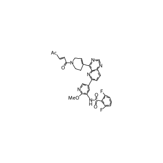 COc1ncc(-c2ccc3ncnc(C4=CCN(C(=O)/C=C/C(C)=O)CC4)c3n2)cc1NS(=O)(=O)c1c(F)cccc1F